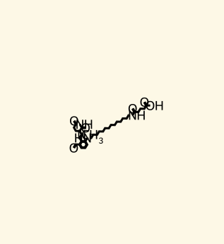 CN(Cc1c(C=O)cccc1NCCCCCCCCCCCCCCNC(=O)CCCC(=O)O)C1CCC(=O)NC1=O